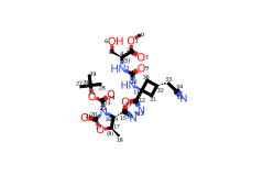 COC(=O)[C@H](CO)NC(=O)N[C@]1(c2nnc([C@@H]3[C@@H](C)OC(=O)N3C(=O)OC(C)(C)C)o2)C[C@@H](CC#N)C1